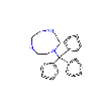 c1ccc(C(c2ccccc2)(c2ccccc2)N2CCNCCNCC2)cc1